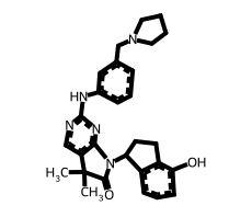 CC1(C)C(=O)N(C2CCc3c(O)cccc32)c2nc(Nc3cccc(CN4CCCC4)c3)ncc21